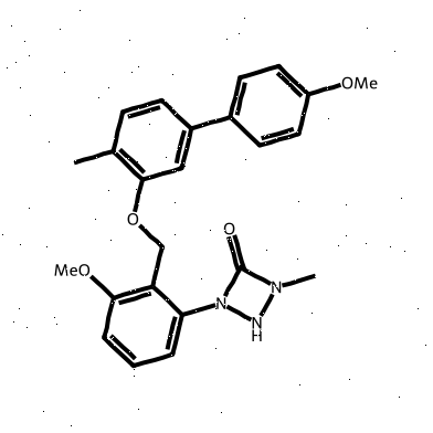 COc1ccc(-c2ccc(C)c(OCc3c(OC)cccc3-n3[nH]n(C)c3=O)c2)cc1